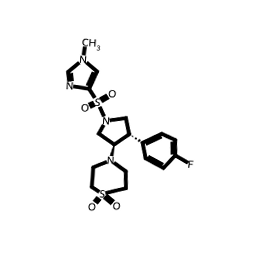 Cn1cnc(S(=O)(=O)N2C[C@H](c3ccc(F)cc3)[C@@H](N3CCS(=O)(=O)CC3)C2)c1